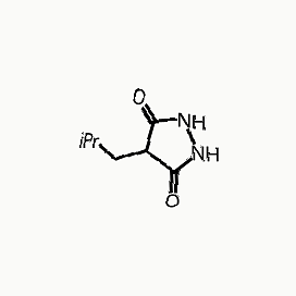 CC(C)CC1C(=O)NNC1=O